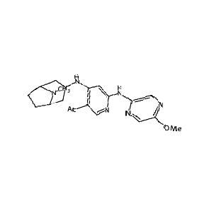 COc1cnc(Nc2cc(NC3CC4CCC(C3)N4C)c(C(C)=O)cn2)cn1